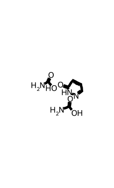 NC(=O)O.NC(=O)O.O=c1cccn[nH]1